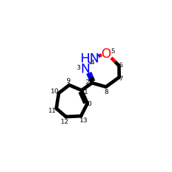 C1=C(C2=NNOCCC2)CCCCC1